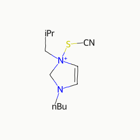 CCCCN1C=C[N+](CC(C)C)(SC#N)C1